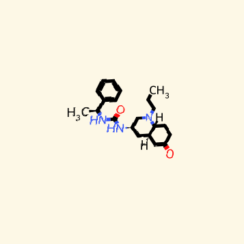 CCCN1C[C@@H](NC(=O)N[C@@H](C)c2ccccc2)C[C@@H]2CC(=O)CC[C@H]21